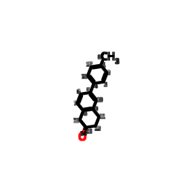 Cc1ccc(-c2ccc3c(c2)CCC(=O)C3)cc1